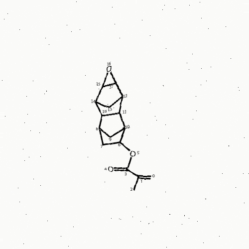 C=C(C)C(=O)OC1CC2CC1C1C3CC(C4OC34)C21